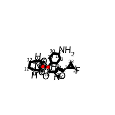 NC1CCC(CS(=O)(=O)N2[C@@H]3CC[C@H]2CC(NC(=O)c2cc([C@H]4C[C@@H]4F)on2)C3)CC1